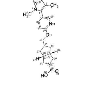 Cc1cnn(C)c1-c1ccc(OCC2C[C@@H]3CN(C(=O)O)C[C@@H]3C2)nn1